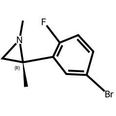 CN1C[C@@]1(C)c1cc(Br)ccc1F